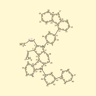 C=Cc1c(/C=C\C)n(-c2ccc(-c3cccc4sc5ccccc5c34)cc2)c2ccc3c(c4ccccc4n3-c3cccc(-c4ccccc4)c3)c12